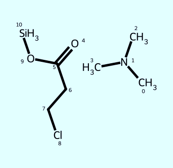 CN(C)C.O=C(CCCl)O[SiH3]